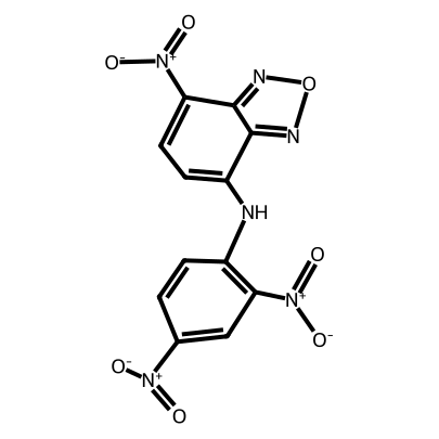 O=[N+]([O-])c1ccc(Nc2ccc([N+](=O)[O-])c3nonc23)c([N+](=O)[O-])c1